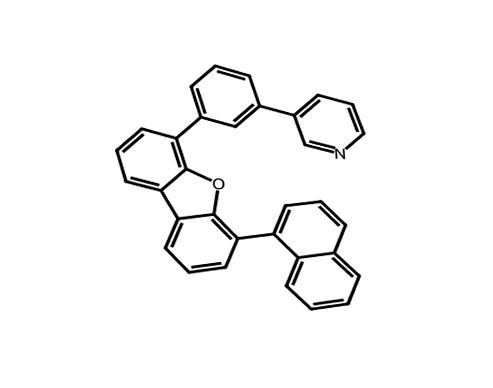 c1cncc(-c2cccc(-c3cccc4c3oc3c(-c5cccc6ccccc56)cccc34)c2)c1